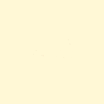 CCCCC(C)(C)C(=O)/C(N)=C/SCC(COC(=O)N(C)N)OC(=O)C(C)(N)C(C)(C)C